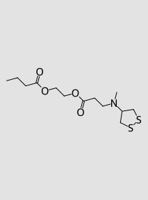 CCCC(=O)OCCOC(=O)CCN(C)C1CSSC1